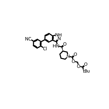 CC(C)(C)C(=O)OCOC(=O)N1CCC[C@@H](C(=O)Nc2n[nH]c3ccc(-c4cc(C#N)ccc4Cl)cc23)C1